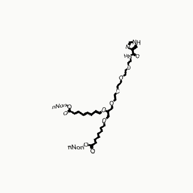 CCCCCCCCCOC(=O)CCCCCCCOCC(COCCOCCOCCOCCNC(=O)c1c[nH]cn1)OCCCCCCCC(=O)OCCCCCCCCC